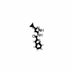 O=C(Nc1cc(C2CC2)n[nH]1)c1cc2ccccc2s1